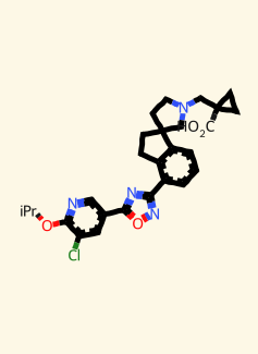 CC(C)Oc1ncc(-c2nc(-c3cccc4c3CCC43CCN(CC4(C(=O)O)CC4)C3)no2)cc1Cl